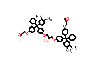 Cc1ccc(C(c2ccc(OCC(O)COc3ccc(C(c4ccc(OCC5CO5)cc4)(c4ccc(C)c(C)c4)C4CCCCC4)cc3)cc2)(c2ccc(OCC3CO3)cc2)C2CCCCC2)cc1C